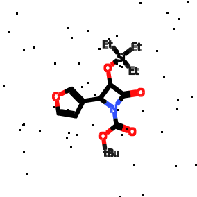 CC[Si](CC)(CC)OC1C(=O)N(C(=O)OC(C)(C)C)C1c1ccoc1